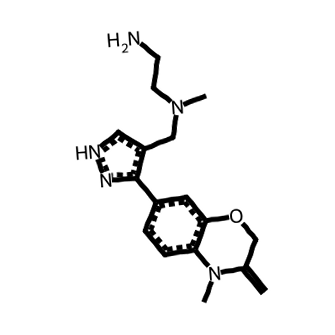 C=C1COc2cc(-c3n[nH]cc3CN(C)CCN)ccc2N1C